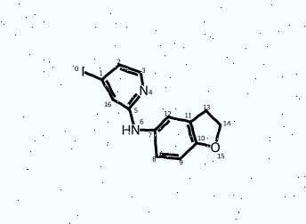 Ic1ccnc(Nc2ccc3c(c2)CCO3)c1